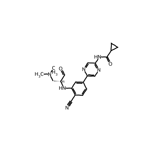 CN(C)C[C@H](C=O)Nc1cc(-c2cnc(NC(=O)C3CC3)cn2)ccc1C#N